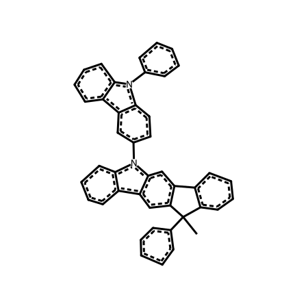 CC1(c2ccccc2)c2ccccc2-c2cc3c(cc21)c1ccccc1n3-c1ccc2c(c1)c1ccccc1n2-c1ccccc1